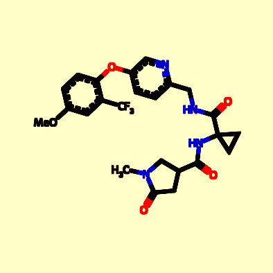 COc1ccc(Oc2ccc(CNC(=O)C3(NC(=O)C4CC(=O)N(C)C4)CC3)nc2)c(C(F)(F)F)c1